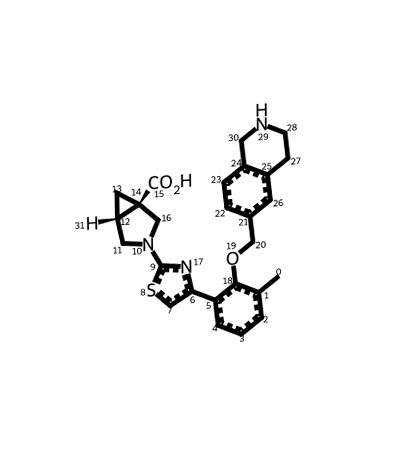 Cc1cccc(-c2csc(N3C[C@@H]4C[C@]4(C(=O)O)C3)n2)c1OCc1ccc2c(c1)CCNC2